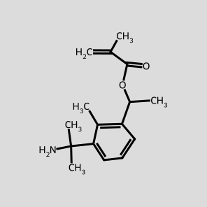 C=C(C)C(=O)OC(C)c1cccc(C(C)(C)N)c1C